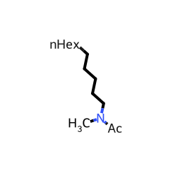 CCCCCCCCCCCN(C)C(C)=O